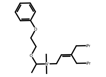 CC(C)CC(=CC[N+](C)(C)C(C)OCCOc1ccccc1)CC(C)C